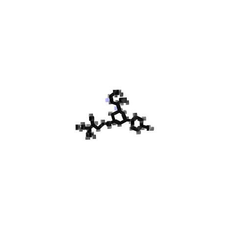 CC(/C=C\N)=C1\C=C(c2ccc(F)cc2)C=C(OCCC(=O)N(C)C)C1